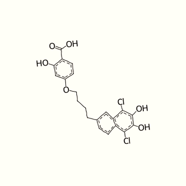 O=C(O)c1ccc(OCCCCc2ccc3c(Cl)c(O)c(O)c(Cl)c3c2)cc1O